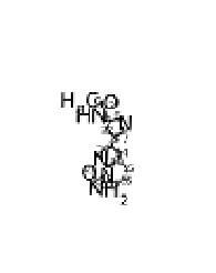 CC(=O)Nc1cncc(-c2cnc3c(c2)CCCN3C(N)=O)c1